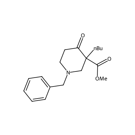 CCCCC1(C(=O)OC)CN(Cc2ccccc2)CCC1=O